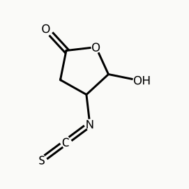 O=C1CC(N=C=S)C(O)O1